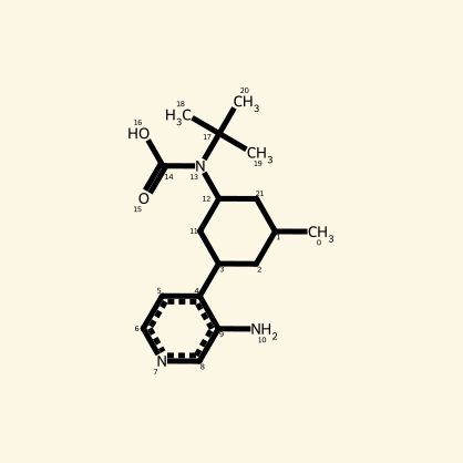 CC1CC(c2ccncc2N)CC(N(C(=O)O)C(C)(C)C)C1